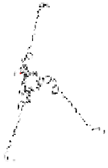 CCCCCCCCCCCCCCCc1cccc(Oc2ccc3c(c2)-c2nc-3nc3c4cc(Oc5cccc(CCCCCCCCCCCCCCC)c5)ccc4c(nc4c5ccc(Oc6cccc(CCCCCCCCCCCCCCC)c6)cc5c(n2)n4C)n3B(C)Cl)c1